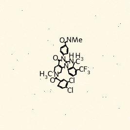 CNC(=O)c1ccc(-n2c(N[C@@H](C)c3ccccc3C(F)(F)F)nc3c(c2=O)C[C@@H](C)N(C(=O)c2ccc(Cl)c(Cl)c2)C3)cc1